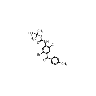 Cc1ccc(C(=O)c2cc(Cl)c(NC(=O)OC(C)(C)C)cc2Br)cc1